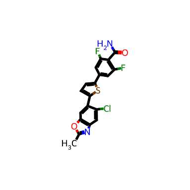 Cc1nc2cc(Cl)c(-c3ccc(-c4cc(F)c(C(N)=O)c(F)c4)s3)cc2o1